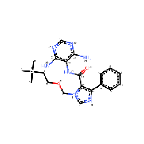 C[Si](C)(C)CCOCn1cnc(-c2ccccc2)c1C(=O)Nc1c(N)ncnc1N